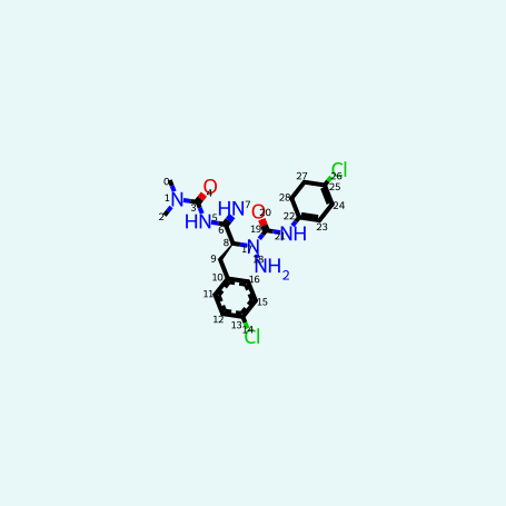 CN(C)C(=O)NC(=N)[C@H](Cc1ccc(Cl)cc1)N(N)C(=O)NC1=CC=C(Cl)CC1